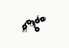 CCc1ccc(CN2CCC(CN(C(=O)/C=C/c3ccccc3)c3ccc(N4CCOCC4)c(F)c3)CC2)cc1